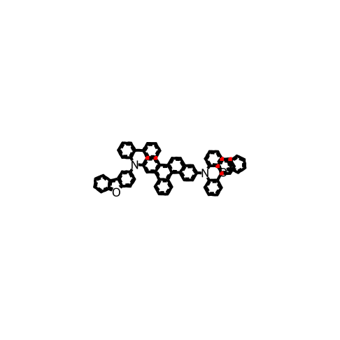 c1ccc(-c2ccccc2N(c2ccc3oc4ccccc4c3c2)c2ccc3c(c2)c2ccccc2c2c4ccc(N(c5ccccc5-c5ccccc5)c5cccc6c5oc5ccccc56)cc4ccc32)cc1